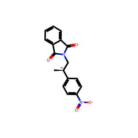 C[C@@H](CN1C(=O)c2ccccc2C1=O)c1ccc([N+](=O)[O-])cc1